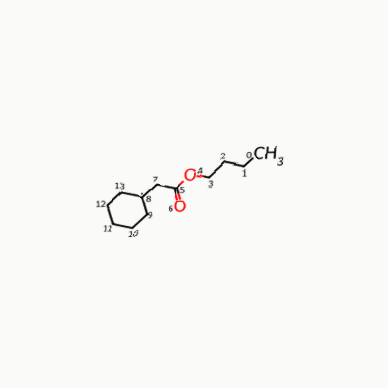 CCCCOC(=O)C[C]1CCCCC1